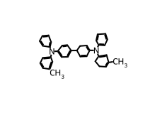 CC1=CCCC(N(C2=CCC(c3ccc(N(c4ccccc4)c4cccc(C)c4)cc3)C=C2)c2ccccc2)=C1